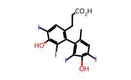 Cc1cc(I)c(O)c(I)c1-c1c(CCC(=O)O)cc(I)c(O)c1I